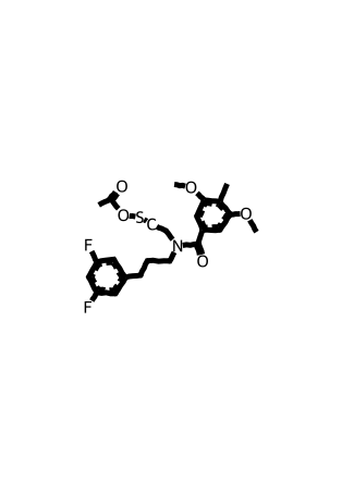 COc1cc(C(=O)N(CCCc2cc(F)cc(F)c2)CCSOC(C)=O)cc(OC)c1C